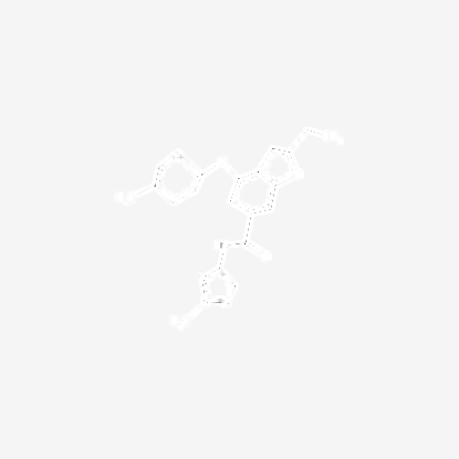 CCc1cc2c(Oc3ccc(C)cc3)cc(C(=O)Nc3cnn(C)n3)cc2o1